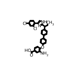 CCC(c1ccc(-c2ccc(Oc3ccc(C(=O)O)cc3N)cc2)cc1)c1nc(-c2ccc(Cl)cc2Cl)c[nH]1